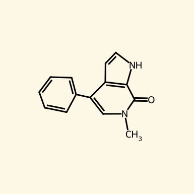 Cn1cc(-c2ccccc2)c2cc[nH]c2c1=O